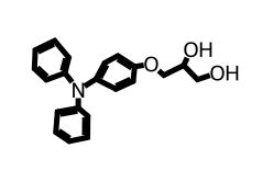 OCC(O)COc1ccc(N(c2ccccc2)c2ccccc2)cc1